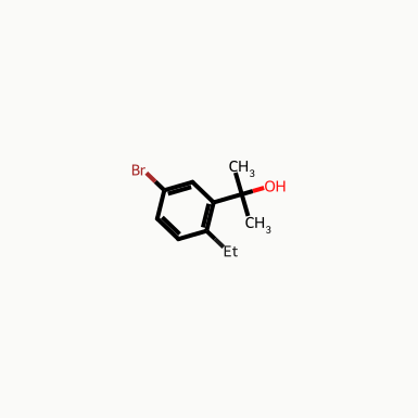 CCc1ccc(Br)cc1C(C)(C)O